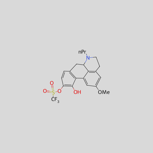 CCCN1CCc2cc(OC)cc3c2C1Cc1ccc(OS(=O)(=O)C(F)(F)F)c(O)c1-3